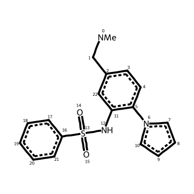 CNCc1ccc(-n2cccc2)c(NS(=O)(=O)c2ccccc2)c1